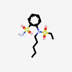 CCCCCN(c1ccccc1S(N)(=O)=O)S(=O)(=O)CC